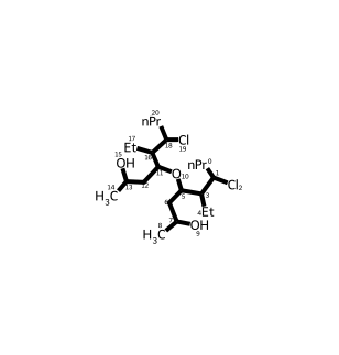 CCCC(Cl)C(CC)C(CC(C)O)OC(CC(C)O)C(CC)C(Cl)CCC